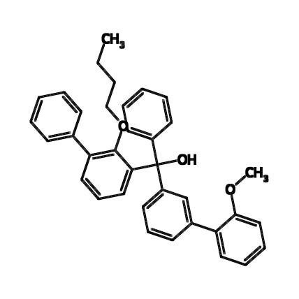 CCCCOc1c(-c2ccccc2)cccc1C(O)(c1ccccc1)c1cccc(-c2ccccc2OC)c1